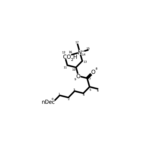 CCCCCCCCCCCCCCC(C)C(=O)OC(CC(=O)O)C[N+](C)(C)C